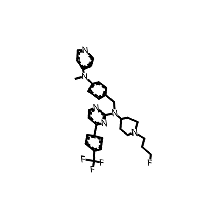 CN(c1ccncc1)c1ccc(CN(c2nccc(-c3ccc(C(F)(F)F)cc3)n2)C2CCN(CCCF)CC2)cc1